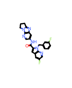 O=C(Nc1cnc2c(c1)nc1n2CCC1)c1cc2cc(F)cnc2n1Cc1cccc(F)c1